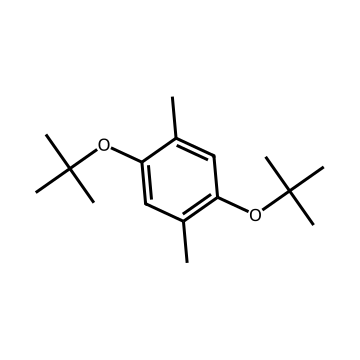 Cc1cc(OC(C)(C)C)c(C)cc1OC(C)(C)C